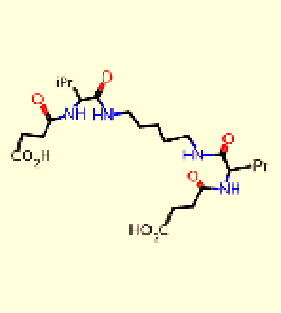 CC(C)C(NC(=O)CCC(=O)O)C(=O)NCCCCCNC(=O)C(NC(=O)CCC(=O)O)C(C)C